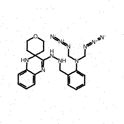 [N-]=[N+]=NCN(CN=[N+]=[N-])c1ccccc1CNNC1=Nc2ccccc2NC12CCOCC2